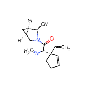 C=C[C@@]1(C(N=C)C(=O)N2C[C@H]3C[C@H]3[C@H]2C#N)C=CCC1